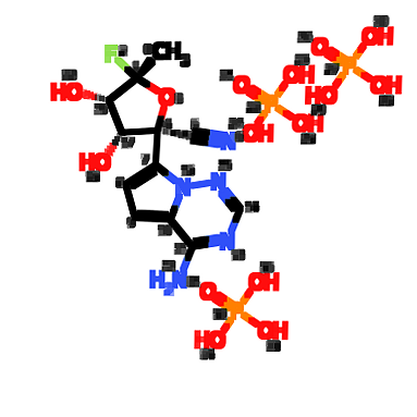 C[C@@]1(F)O[C@@](C#N)(c2ccc3c(N)ncnn23)[C@H](O)[C@@H]1O.O=P(O)(O)O.O=P(O)(O)O.O=P(O)(O)O